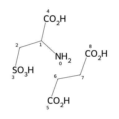 NC(CS(=O)(=O)O)C(=O)O.O=C(O)CCC(=O)O